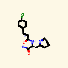 [NH]C(=O)[C@H](Cc1ccccn1)NC(=O)/C=C/c1ccc(Cl)cc1